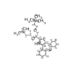 CN(C)CCOC(COCC[Si](C)(C)C)c1cc2c([nH]1)-c1ccccc1Oc1ccccc1-2